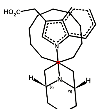 O=C(O)Cc1cn(C2C[C@H]3CCC[C@@H](C2)N3C2CCCCCCCCC2)c2ccccc12